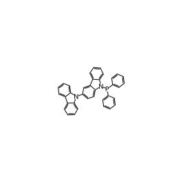 c1ccc(P(c2ccccc2)n2c3ccccc3c3cc(-n4c5ccccc5c5ccccc54)ccc32)cc1